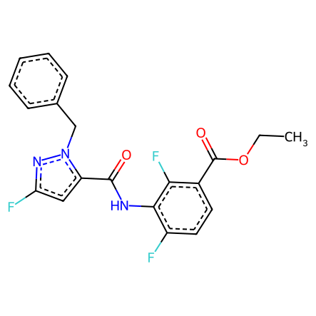 CCOC(=O)c1ccc(F)c(NC(=O)c2cc(F)nn2Cc2ccccc2)c1F